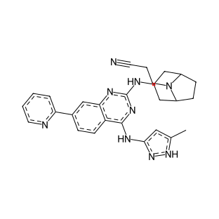 Cc1cc(Nc2nc(NC3CC4CCC(C3)N4CCC#N)nc3cc(-c4ccccn4)ccc23)n[nH]1